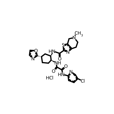 CN1CCc2nc(C(=O)N[C@@H]3C[C@@H](c4ncco4)CC[C@@H]3NC(=O)C(=O)Nc3ccc(Cl)cn3)sc2C1.Cl